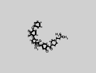 CN(C)CCN1CCN(C(=O)c2ccc(NC(=O)C3(C)N=CC(c4ccc(Oc5ccccn5)c(F)c4F)=N3)cc2Cl)CC1